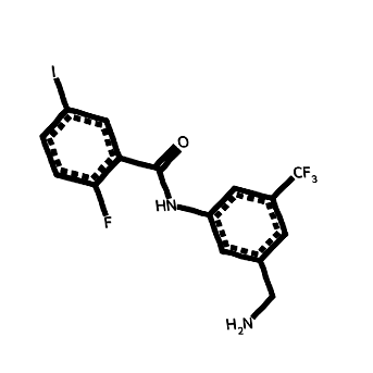 NCc1cc(NC(=O)c2cc(I)ccc2F)cc(C(F)(F)F)c1